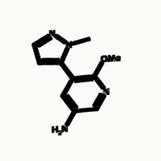 COc1ncc(N)cc1-c1ccnn1C